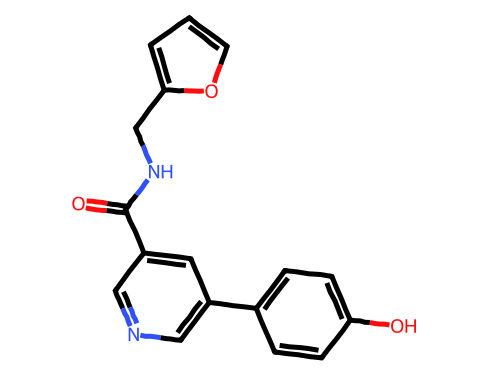 O=C(NCc1ccco1)c1cncc(-c2ccc(O)cc2)c1